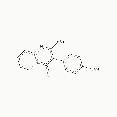 CCCCc1nc2ccccn2c(=O)c1-c1ccc(OC)cc1